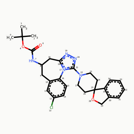 CC(C)(C)OC(=O)NC1Cc2cc(Cl)ccc2-n2c(nnc2N2CCC3(CC2)OCc2ccccc23)C1